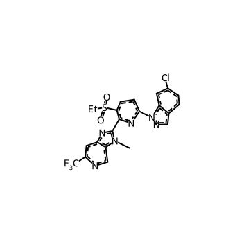 CCS(=O)(=O)c1ccc(-n2ncc3ccc(Cl)cc32)nc1-c1nc2cc(C(F)(F)F)ncc2n1C